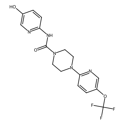 O=C(Nc1ccc(O)cn1)N1CCN(c2ccc(OC(F)(F)F)cn2)CC1